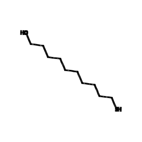 OCCCCCCCCCCS